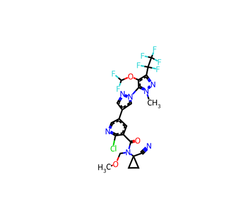 COCN(C(=O)c1cc(-c2cnn(-c3c(OC(F)F)c(C(F)(F)C(F)(F)F)nn3C)c2)cnc1Cl)C1(C#N)CC1